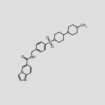 CN1CCN(C2CCN(S(=O)(=O)c3ccc(CNC(=O)c4ccc5nccn5c4)cc3)CC2)CC1